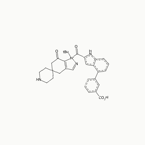 CC(C)(C)[N+]1(C(=O)c2cc3c(-c4cccc(C(=O)O)c4)cccc3[nH]2)N=CC2=C1C(=O)CC1(CCNCC1)C2